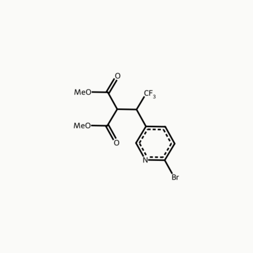 COC(=O)C(C(=O)OC)C(c1ccc(Br)nc1)C(F)(F)F